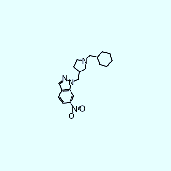 O=[N+]([O-])c1ccc2cnn(CC3CCN(CC4CCCCC4)C3)c2c1